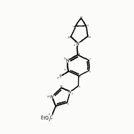 CCOC(=O)c1cn(Cc2ccc(N3CC4CC4C3)nc2F)cn1